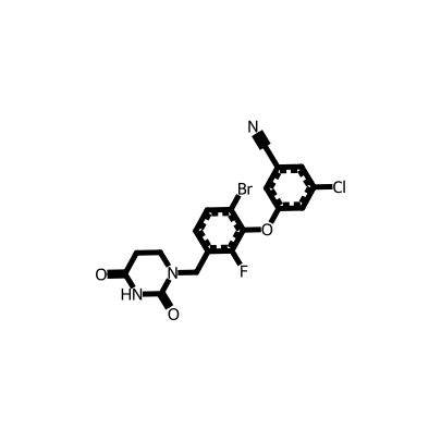 N#Cc1cc(Cl)cc(Oc2c(Br)ccc(CN3CCC(=O)NC3=O)c2F)c1